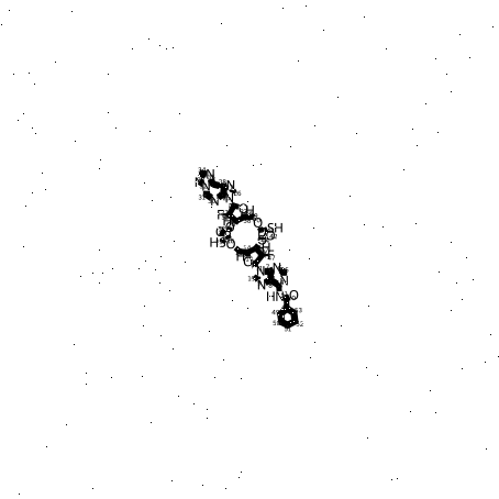 O=C(Nc1ncnc2c1ncn2[C@@H]1O[C@@H]2COP(=O)(S)O[C@H]3[C@@H](F)[C@H](n4cnc5c4ncn4ncnc54)O[C@@H]3COP(=O)(S)O[C@H]2[C@H]1F)c1ccccc1